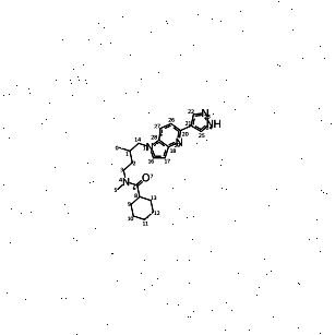 CC(CCN(C)C(=O)C1CCCCC1)Cn1ccc2nc(-c3cn[nH]c3)ccc21